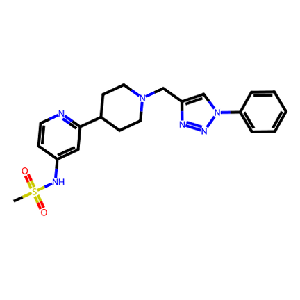 CS(=O)(=O)Nc1ccnc(C2CCN(Cc3cn(-c4ccccc4)nn3)CC2)c1